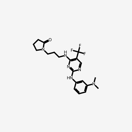 CN(C)c1cccc(Nc2ncc(C(F)(F)F)c(NCCCN3CCCC3=O)n2)c1